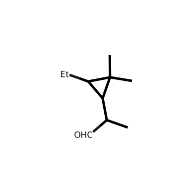 CCC1C(C(C)C=O)C1(C)C